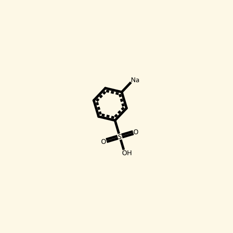 O=S(=O)(O)c1ccc[c]([Na])c1